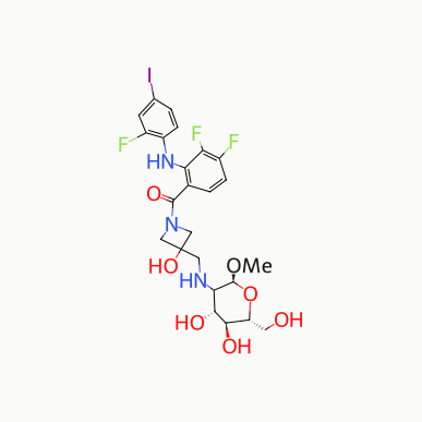 CO[C@H]1O[C@H](CO)[C@@H](O)[C@H](O)C1NCC1(O)CN(C(=O)c2ccc(F)c(F)c2Nc2ccc(I)cc2F)C1